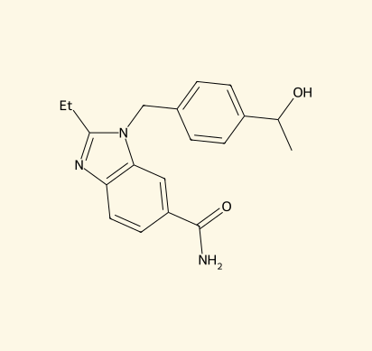 CCc1nc2ccc(C(N)=O)cc2n1Cc1ccc(C(C)O)cc1